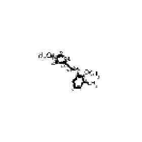 COc1c(C)cccc1/N=C/c1cn(C)cn1